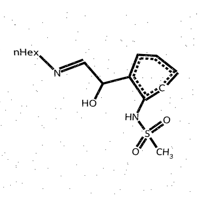 CCCCCCN=CC(O)c1ccccc1NS(C)(=O)=O